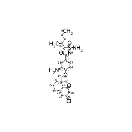 C=CC[C@H](C)C[S@](N)(=O)=NC(=O)c1ccc(OC[C@@]2(C=O)CCCc3cc(Cl)ccc32)c(N)c1